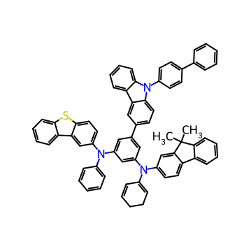 CC1(C)c2ccccc2-c2ccc(N(C3=CCCC=C3)c3cc(-c4ccc5c(c4)c4ccccc4n5-c4ccc(-c5ccccc5)cc4)cc(N(c4ccccc4)c4ccc5sc6ccccc6c5c4)c3)cc21